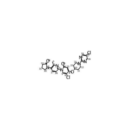 Cc1nc(-n2cc(Cl)c(OC3CCN(c4ncc(Cl)cn4)CC3)cc2=O)ccc1N1CCCC1=O